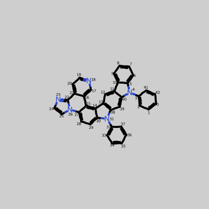 c1ccc(-n2c3ccccc3c3cc4c5c6c7cnccc7c7nccn7c6ccc5n(-c5ccccc5)c4cc32)cc1